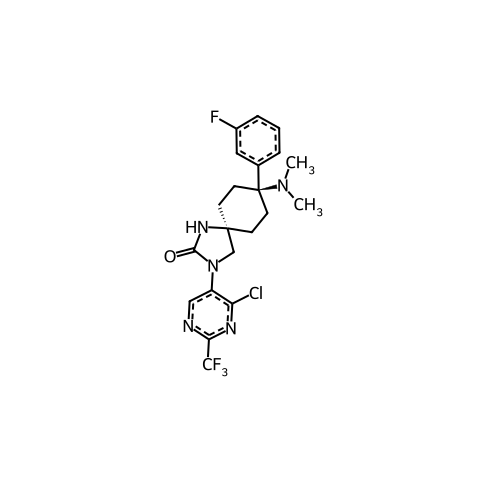 CN(C)[C@]1(c2cccc(F)c2)CC[C@]2(CC1)CN(c1cnc(C(F)(F)F)nc1Cl)C(=O)N2